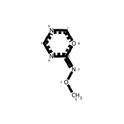 CON=c1ncnco1